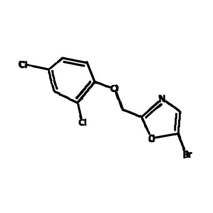 Clc1ccc(OCc2ncc(Br)o2)c(Cl)c1